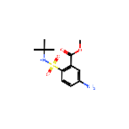 COC(=O)c1cc(N)ccc1S(=O)(=O)NC(C)(C)C